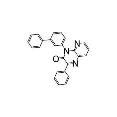 O=c1c(-c2ccccc2)nc2cccnc2n1-c1cccc(-c2ccccc2)c1